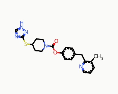 Cc1cccnc1Cc1ccc(OC(=O)N2CCC(Sc3nc[nH]n3)CC2)cc1